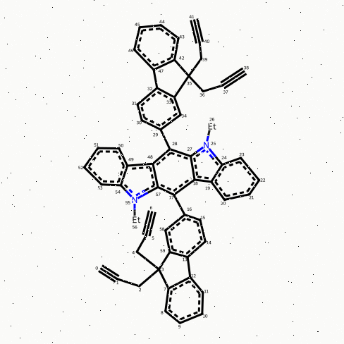 C#CCC1(CC#C)c2ccccc2-c2ccc(-c3c4c5ccccc5n(CC)c4c(-c4ccc5c(c4)C(CC#C)(CC#C)c4ccccc4-5)c4c5ccccc5n(CC)c34)cc21